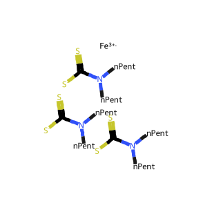 CCCCCN(CCCCC)C(=S)[S-].CCCCCN(CCCCC)C(=S)[S-].CCCCCN(CCCCC)C(=S)[S-].[Fe+3]